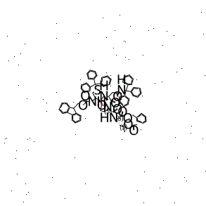 CC(=O)O[C@@H](C)C[C@H](NC(=O)[C@@H]1CCCN1C(=O)C(CC(=O)NC(c1ccccc1)(c1ccccc1)c1ccccc1)NC(=O)C(CSC(c1ccccc1)(c1ccccc1)c1ccccc1)NC(=O)OCC1c2ccccc2-c2ccccc21)C(=O)OCc1ccccc1